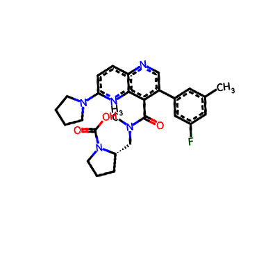 Cc1cc(F)cc(-c2cnc3ccc(N4CCCC4)nc3c2C(=O)N(C)C[C@@H]2CCCN2C(=O)O)c1